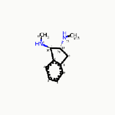 CN[C@@H]1c2ccccc2C[C@H]1NC